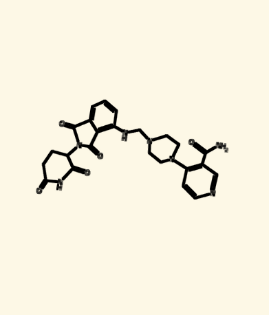 NC(=O)c1cnccc1N1CCN(CNc2cccc3c2C(=O)N(C2CCC(=O)NC2=O)C3=O)CC1